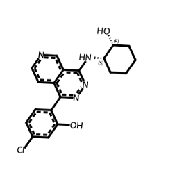 Oc1cc(Cl)ccc1-c1nnc(N[C@H]2CCCC[C@H]2O)c2cnccc12